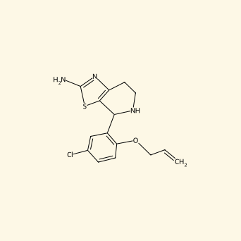 C=CCOc1ccc(Cl)cc1C1NCCc2nc(N)sc21